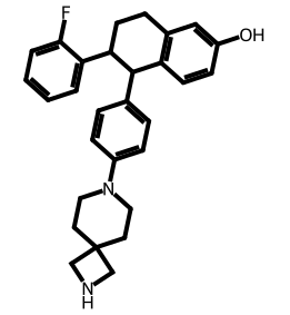 Oc1ccc2c(c1)CCC(c1ccccc1F)C2c1ccc(N2CCC3(CC2)CNC3)cc1